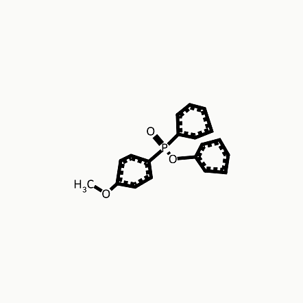 COc1ccc(P(=O)(Oc2ccccc2)c2ccccc2)cc1